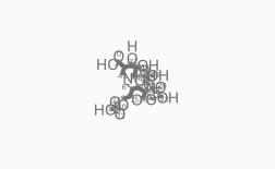 O=C(O)C1CN(C[C@H]2C(COS(=O)(=O)O)OCC(NS(=O)(=O)O)[C@@H]2OS(=O)(=O)O)C[C@H](O)[C@@H]1O